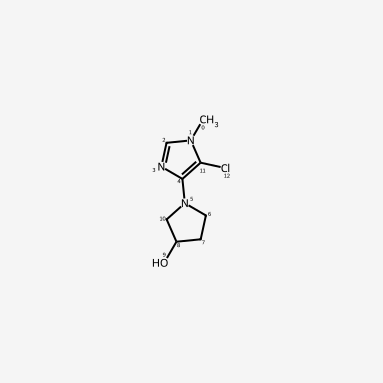 Cn1cnc(N2CCC(O)C2)c1Cl